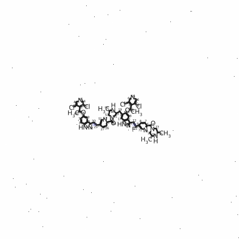 CC1CN(C(=O)c2ccc(/C(F)=C/c3n[nH]c4cc(CC5CN(C(=O)c6ccc(/C=C/c7n[nH]c8ccc(O[C@H](C)c9c(Cl)cncc9Cl)cc78)cn6)CC(C)N5)c(O[C@H](C)c5c(Cl)cncc5Cl)cc34)cn2)CC(C)N1